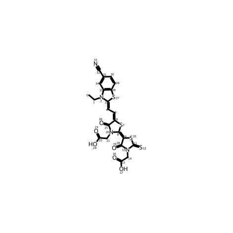 CCN1/C(=C/C=c2/s/c(=C3\SC(=S)N(CC(=O)O)C3=O)n(CC(=O)O)c2=O)Sc2ccc(C#N)cc21